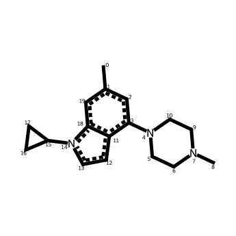 Cc1cc(N2CCN(C)CC2)c2ccn(C3CC3)c2c1